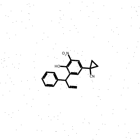 C=CC(c1ccccc1)c1cc(C2(C#N)CC2)cc([N+](=O)[O-])c1O